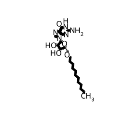 CCCCCCCCCCCCOC[C@H]1O[C@@H](n2cnc3c(=O)[nH]c(N)nc32)[C@H](O)[C@@H]1O